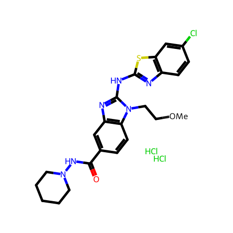 COCCn1c(Nc2nc3ccc(Cl)cc3s2)nc2cc(C(=O)NN3CCCCC3)ccc21.Cl.Cl